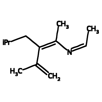 C=C(C)/C(CC(C)C)=C(C)\N=C/C